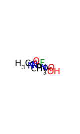 Cc1cc(=O)n(-c2ccc(N3CCC(C(=O)O)CC3)c(F)c2)c(C)n1